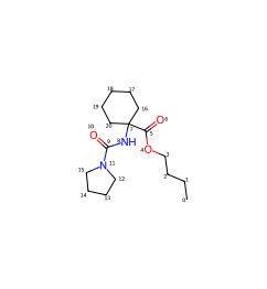 CCCCOC(=O)C1(NC(=O)N2CCCC2)CCCCC1